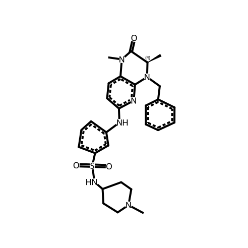 C[C@@H]1C(=O)N(C)c2ccc(Nc3cccc(S(=O)(=O)NC4CCN(C)CC4)c3)nc2N1Cc1ccccc1